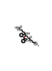 CNCCCC(=O)N1CCCC(C(O)(CCCNC(=O)O)c2ccccc2Oc2ccccc2C)C1